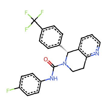 O=C(Nc1ccc(F)cc1)N1CCc2ncccc2[C@H]1c1ccc(C(F)(F)F)cc1